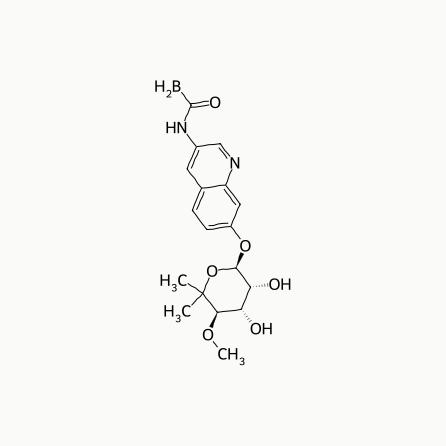 BC(=O)Nc1cnc2cc(O[C@@H]3OC(C)(C)[C@H](OC)[C@@H](O)[C@H]3O)ccc2c1